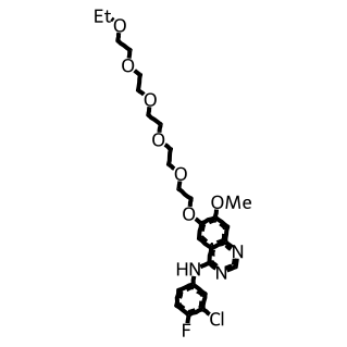 CCOCCOCCOCCOCCOCCOc1cc2c(Nc3ccc(F)c(Cl)c3)ncnc2cc1OC